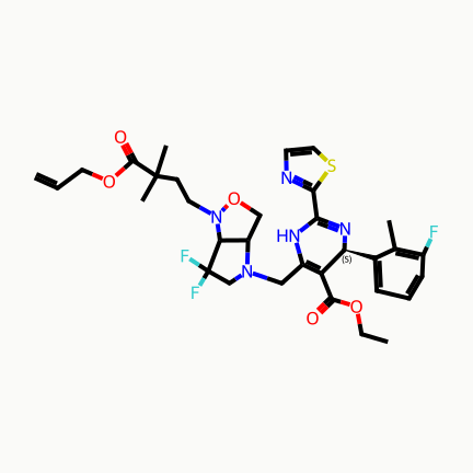 C=CCOC(=O)C(C)(C)CCN1OCC2C1C(F)(F)CN2CC1=C(C(=O)OCC)[C@H](c2cccc(F)c2C)N=C(c2nccs2)N1